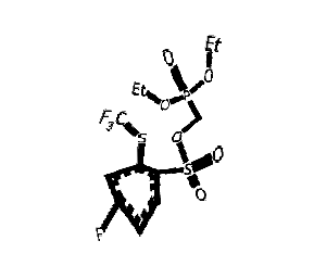 CCOP(=O)(COS(=O)(=O)c1ccc(F)cc1SC(F)(F)F)OCC